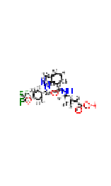 CC1(CC(=O)O)CC(C)(NC(=O)c2cccc3cnn(Cc4ccc(OC(F)(F)F)cc4)c23)C1